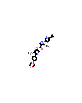 Cc1cc(NC(=O)c2cnn(-c3ccc(C4CC4)nc3)c2C)cnc1C1=CCC(N2CCOCC2)CC1